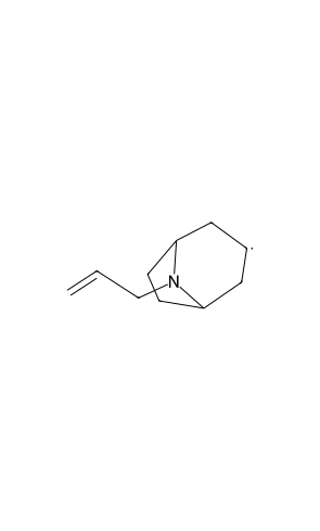 C=CCN1C2C[CH]CC1CC2